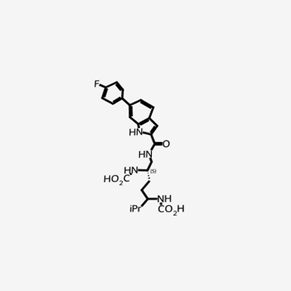 CC(C)C(CC[C@@H](CNC(=O)c1cc2ccc(-c3ccc(F)cc3)cc2[nH]1)NC(=O)O)NC(=O)O